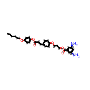 CCCCCCOc1ccc(OC(=O)C=Cc2ccc(OCCCOC(=O)c3cc(N)cc(N)c3)cc2)cc1